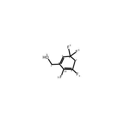 OCC1=CC(F)(F)CC(F)=C1F